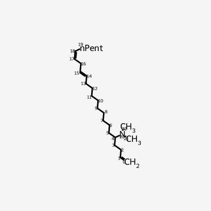 C=CCCC(CCCCCCCCCC=CC/C=C\CCCCC)N(C)C